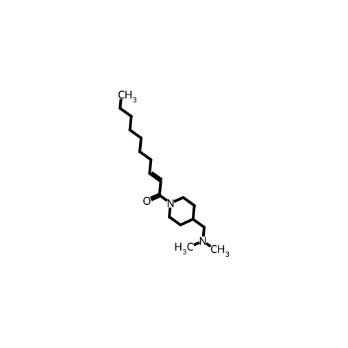 CCCCCCC/C=C/C(=O)N1CCC(CN(C)C)CC1